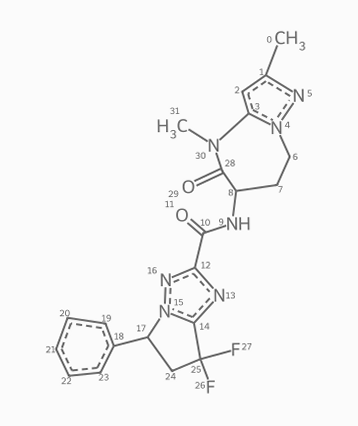 Cc1cc2n(n1)CCC(NC(=O)c1nc3n(n1)C(c1ccccc1)CC3(F)F)C(=O)N2C